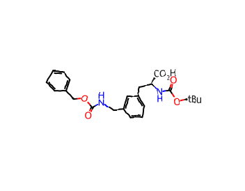 CC(C)(C)OC(=O)N[C@@H](Cc1cccc(CNC(=O)OCc2ccccc2)c1)C(=O)O